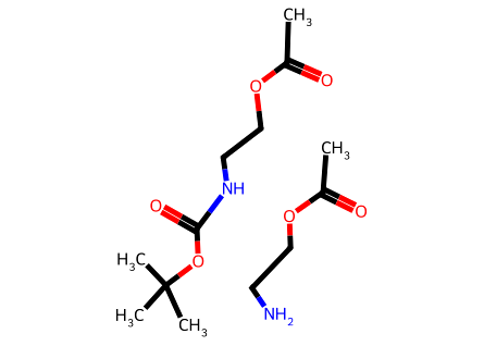 CC(=O)OCCN.CC(=O)OCCNC(=O)OC(C)(C)C